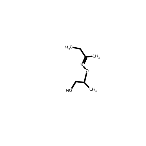 CCC(C)=NOC(C)CO